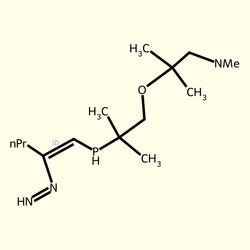 CCC/C(=C/PC(C)(C)COC(C)(C)CNC)N=N